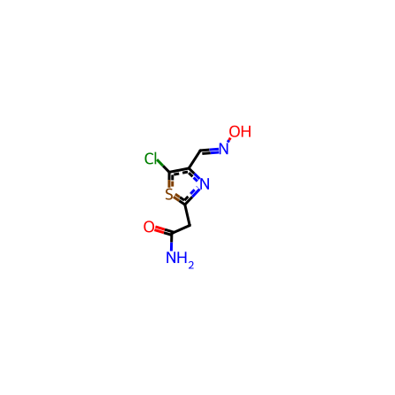 NC(=O)Cc1nc(C=NO)c(Cl)s1